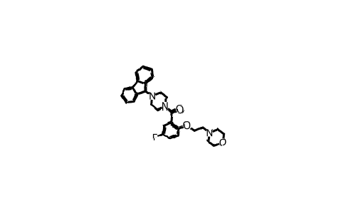 O=C(c1cc(F)ccc1OCCN1CCOCC1)N1CCN(C2c3ccccc3-c3ccccc32)CC1